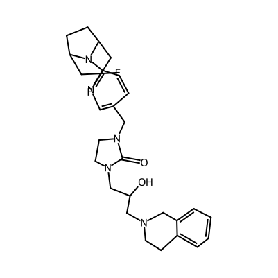 O=C1N(Cc2ccc(N3C4CCC3CC(F)(F)C4)nc2)CCN1CC(O)CN1CCc2ccccc2C1